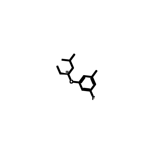 CC[C@@H](CC(C)C)Oc1cc(C)cc(F)c1